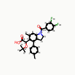 Cc1ccc(-c2c3c(cc(C)c2C(OC(C)(C)C)C(=O)O)N(C(=O)c2ccc(F)c(F)c2)CC3)cc1